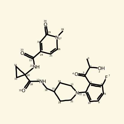 CC(O)C(=O)c1c(F)cccc1N1CCC(CNC(=O)C2(NC(=O)c3ccn(C)c(=O)c3)CC2)CC1